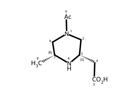 CC(=O)N1C[C@H](CC(=O)O)N[C@H](C)C1